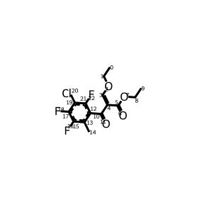 CCO/C=C(\C(=O)OCC)C(=O)c1c(C)c(F)c(F)c(Cl)c1F